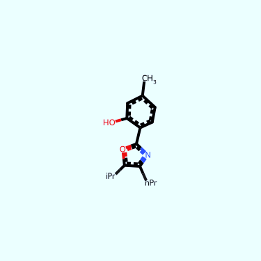 CCCc1nc(-c2ccc(C)cc2O)oc1C(C)C